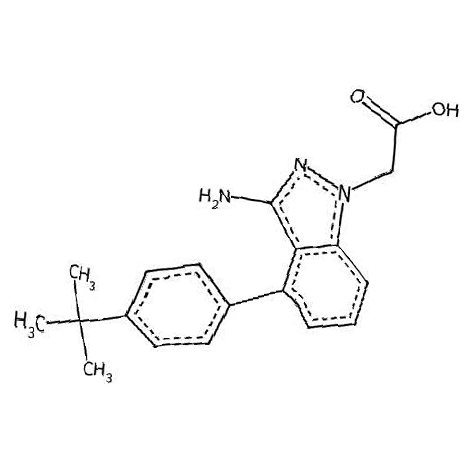 CC(C)(C)c1ccc(-c2cccc3c2c(N)nn3CC(=O)O)cc1